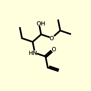 C=CC(=O)NC(CC)C(O)OC(C)C